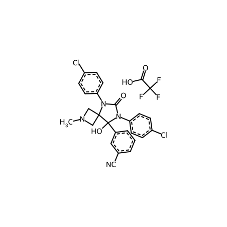 CN1CC2(C1)N(c1ccc(Cl)cc1)C(=O)N(c1ccc(Cl)cc1)C2(O)c1cccc(C#N)c1.O=C(O)C(F)(F)F